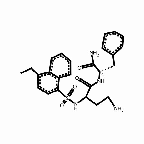 CCc1ccc(S(=O)(=O)NC(CCN)C(=O)N[C@@H](Cc2ccccc2)C(N)=O)c2ccccc12